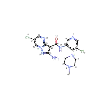 CN1CCN(c2c(Cl)cncc2NC(=O)c2c(N)nn3cc(Cl)cnc23)CC1